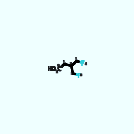 O=C(O)CC(CF)CF